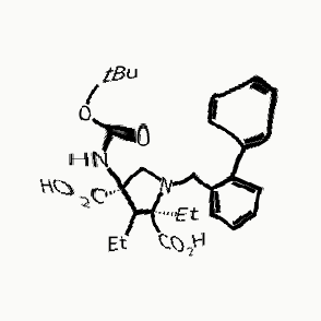 CCC1[C@](CC)(C(=O)O)N(Cc2ccccc2-c2ccccc2)C[C@@]1(NC(=O)OC(C)(C)C)C(=O)O